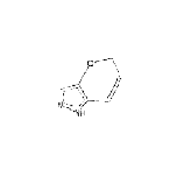 C1=Cc2[nH]ncc2OC1